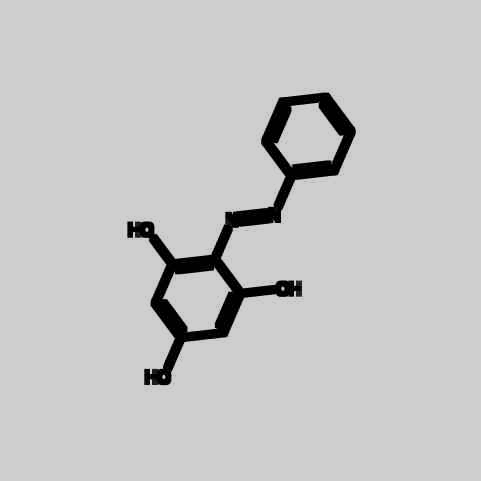 Oc1cc(O)c(/N=N/c2ccccc2)c(O)c1